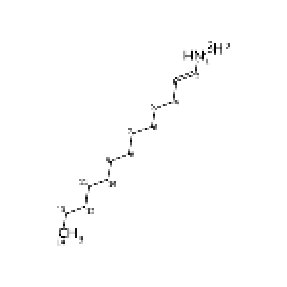 [2H]NC=CCCCCCCCCCCC